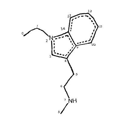 CCn1cc(CCNC)c2ccccc21